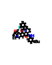 CCN(Cc1ccc(C2C(C(=O)Nc3cccc(C(C)(C)C)c3)CCCN2C(=O)c2c(C)cccc2F)cc1)C1CCOC1C